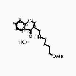 COCCCCNCC1COc2ccccc2C1=O.Cl